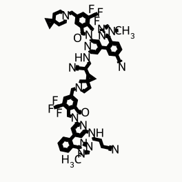 Cn1cnnc1-c1ccccc1-c1cc(NCCCC#N)nc(N2Cc3c(cc(CN4CCC5(CC5C(C#N)CNc5cc(-c6cc(C#N)ccc6-c6nncn6C)cc(N6Cc7c(cc(CN8CCC9(CC8)CC9)cc7C(F)(F)F)C6=O)n5)C4)cc3C(F)(F)F)C2=O)c1